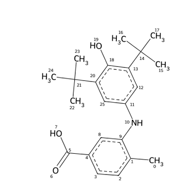 Cc1ccc(C(=O)O)cc1Nc1cc(C(C)(C)C)c(O)c(C(C)(C)C)c1